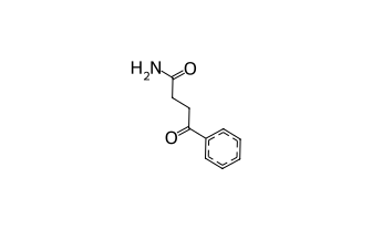 NC(=O)CCC(=O)c1ccccc1